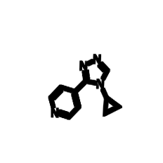 c1cc(-c2nncn2C2CC2)ccn1